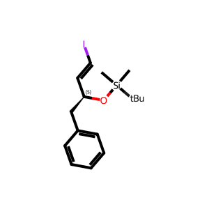 CC(C)(C)[Si](C)(C)O[C@H](C=CI)Cc1ccccc1